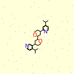 CC(C)c1ccnc(C2CCOC(C3CC(c4cnccc4C(C)C)CCO3)C2)c1